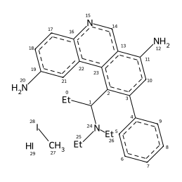 CCC(c1c(-c2ccccc2)cc(N)c2cnc3ccc(N)cc3c12)N(CC)CC.CI.I